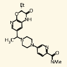 CC[C@H]1Oc2ncc(C(C)N3CCN(c4ccc(C(=O)NC)nc4)CC3)cc2NC1=O